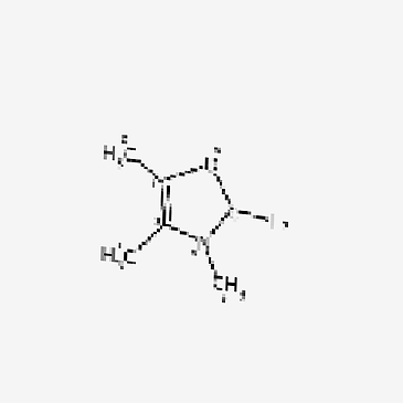 CC1=C(C)N(C)C(I)O1